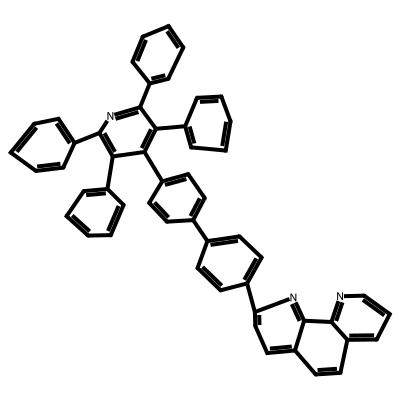 c1ccc(-c2nc(-c3ccccc3)c(-c3ccccc3)c(-c3ccc(-c4ccc(-c5ccc6ccc7cccnc7c6n5)cc4)cc3)c2-c2ccccc2)cc1